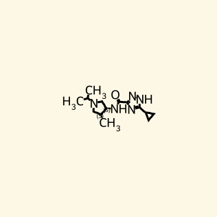 CC(C)N1C[C@H](C)[C@H](NC(=O)c2n[nH]c(C3CC3)n2)C1